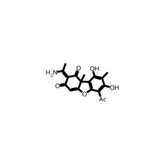 CC(=O)c1c(O)c(C)c(O)c2c1OC1=CC(=O)C(=C(C)N)C(=O)C12C